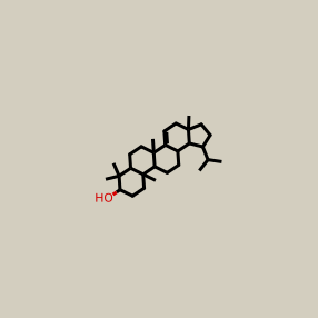 CC(C)C1CCC2(C)CC=C3C(CCC4C3(C)CCC3C(C)(C)C(O)CCC43C)C12